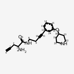 C#CC[C@H](N)C(=O)NCCC#Cc1cccc(OC2CCNCC2)c1